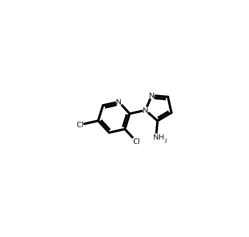 Nc1ccnn1-c1ncc(Cl)cc1Cl